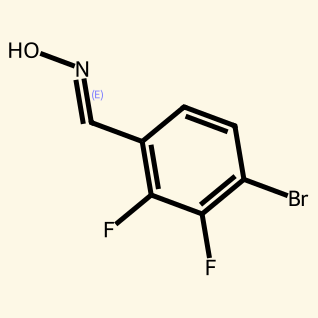 O/N=C/c1ccc(Br)c(F)c1F